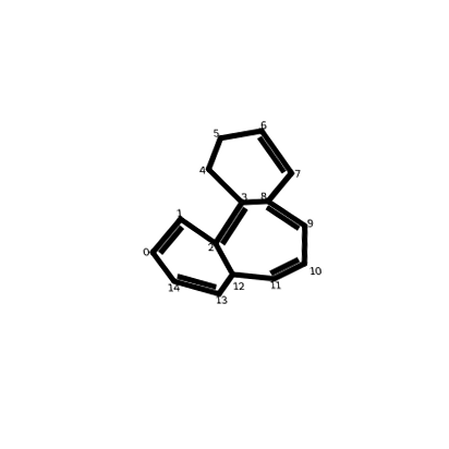 C1=CC2=C3CCC=CC3=CC=CC2C=C1